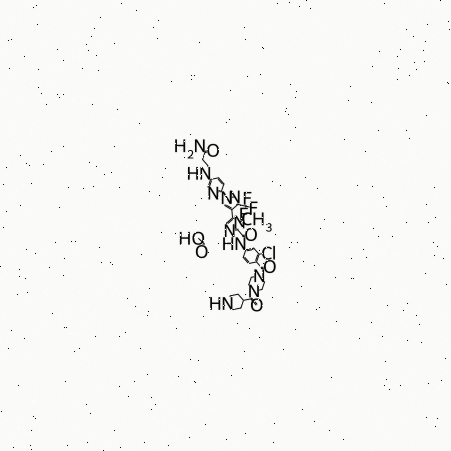 Cn1c(-c2cn(-c3ccc(NCCC(N)=O)cn3)nc2C(F)(F)F)cnc1C(=O)Nc1ccc(C(=O)N2CCN(C(=O)C3CCNCC3)CC2)c(Cl)c1.O=CO